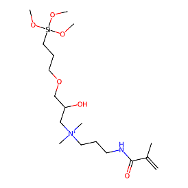 C=C(C)C(=O)NCCC[N+](C)(C)CC(O)COCCC[Si](OC)(OC)OC